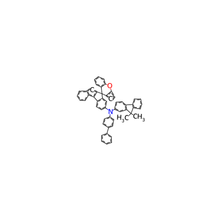 CC1(C)c2ccccc2-c2ccc(N(c3ccc(-c4ccccc4)cc3)c3ccc4c(c3)C3(c5ccccc5Oc5ccccc53)c3ccc5ccccc5c3-4)cc21